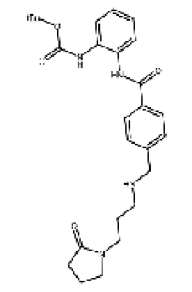 CC(C)(C)OC(=O)Nc1ccccc1NC(=O)c1ccc(CNCCCN2CCCC2=O)cc1